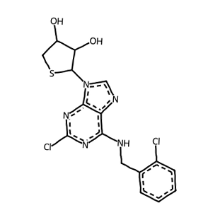 OC1CSC(n2cnc3c(NCc4ccccc4Cl)nc(Cl)nc32)C1O